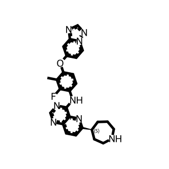 Cc1c(Oc2ccn3ncnc3c2)ccc(Nc2ncnc3ccc([C@H]4CCCNCC4)nc23)c1F